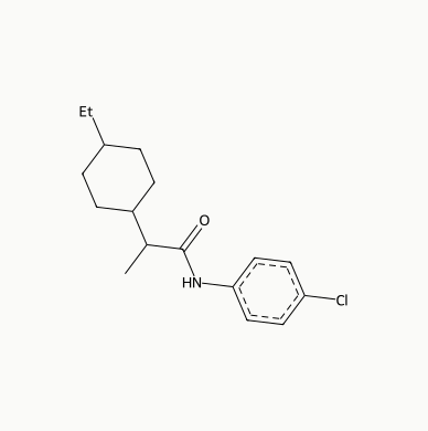 CCC1CCC(C(C)C(=O)Nc2ccc(Cl)cc2)CC1